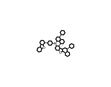 c1ccc(-c2ccc(N(c3ccc(-c4cccc5c4oc4ccccc45)cc3)c3ccc4oc5c6ccccc6c(-c6ccccc6)cc5c4c3-c3ccccc3)cc2)cc1